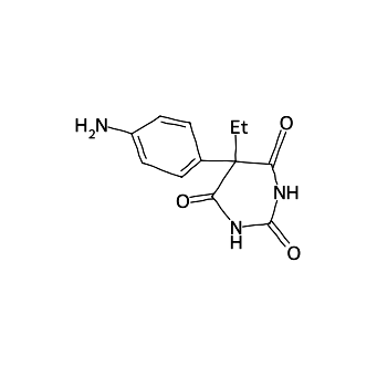 CCC1(c2ccc(N)cc2)C(=O)NC(=O)NC1=O